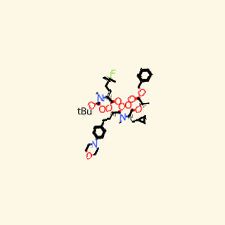 C[C@@H](OC(=O)[C@H](CC1CC1)N(C)C(=O)[C@@H](CCc1ccc(N2CCOCC2)cc1)OC(=O)[C@H](CCC(C)(C)F)N(C)C(=O)OC(C)(C)C)C(=O)OCc1ccccc1